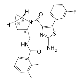 Cc1cccc(C(=O)NC[C@@H]2C[C@H]3C[C@@H]3N2C(=O)c2nc(N)sc2-c2cccc(F)c2)c1C